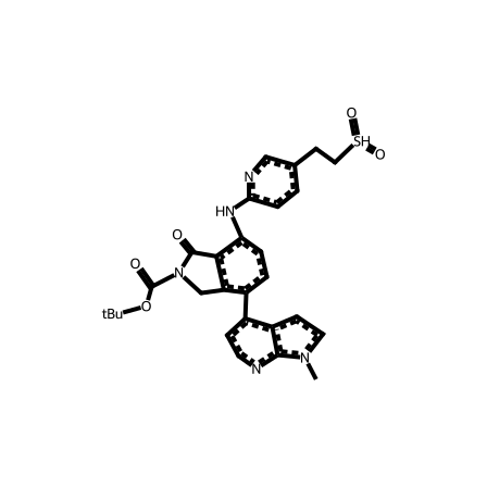 Cn1ccc2c(-c3ccc(Nc4ccc(CC[SH](=O)=O)cn4)c4c3CN(C(=O)OC(C)(C)C)C4=O)ccnc21